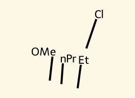 CCC.CCCC.CCl.COC